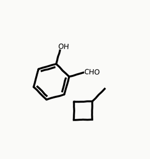 CC1CCC1.O=Cc1ccccc1O